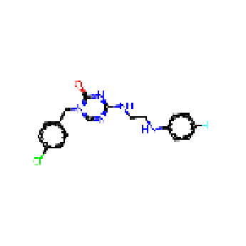 O=c1nc(NCCNc2ccc(F)cc2)ncn1Cc1ccc(Cl)cc1